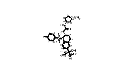 Cc1ccc(S(=O)(=O)N2c3ccc(C(O)(C(F)(F)F)C(F)(F)F)cc3CC[C@H]2CC(=O)N[C@@H]2CC[C@@H](N)C2)cc1